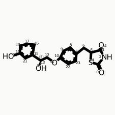 O=C1NC(=O)C(Cc2ccc(OC[C@@H](O)c3cccc(O)c3)cc2)S1